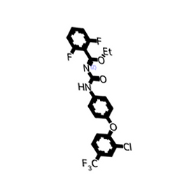 CCO/C(=N\C(=O)Nc1ccc(Oc2ccc(C(F)(F)F)cc2Cl)cc1)c1c(F)cccc1F